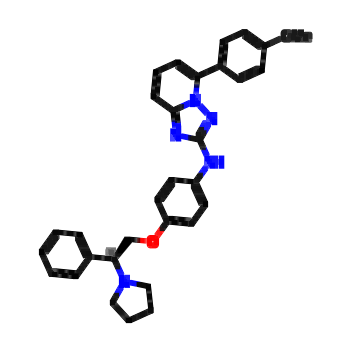 COc1ccc(-c2cccc3nc(Nc4ccc(OC[C@H](c5ccccc5)N5CCCC5)cc4)nn23)cc1